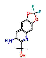 CC(C)(O)c1nc2cc3c(cc2cc1N)OC(F)(F)O3